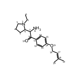 CCN1CCCC1C(N)C(=O)c1ccc(OCC=C(C)C)cc1